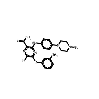 CCc1nc(C(N)=O)c(Nc2ccc(N3CCN(CC)CC3)cc2)nc1Oc1cccc(N)c1